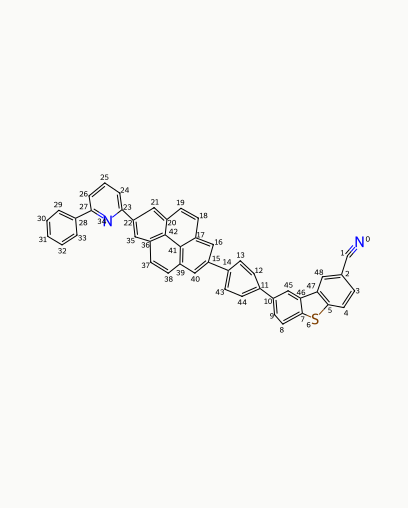 N#Cc1ccc2sc3ccc(-c4ccc(-c5cc6ccc7cc(-c8cccc(-c9ccccc9)n8)cc8ccc(c5)c6c78)cc4)cc3c2c1